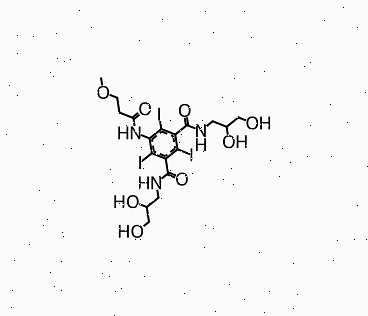 COCCC(=O)Nc1c(I)c(C(=O)NCC(O)CO)c(I)c(C(=O)NCC(O)CO)c1I